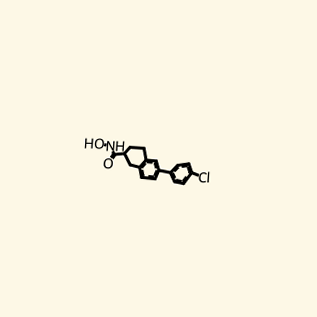 O=C(NO)C1CCc2cc(-c3ccc(Cl)cc3)ccc2C1